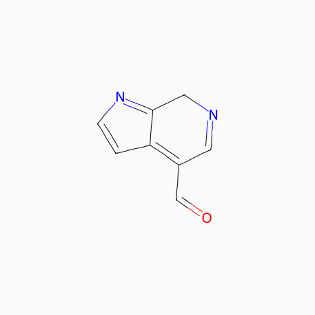 O=CC1=C2C=CN=C2CN=C1